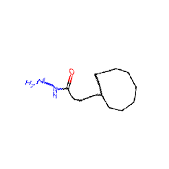 NNC(=O)CC1CCCCCCC1